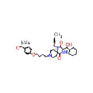 CC#CCN1C(=O)[C@@H]([C@H](O)C2CCCCC2)NC(=O)C12CCN(CCCCOc1ccc(C(=O)NC)cc1)CC2